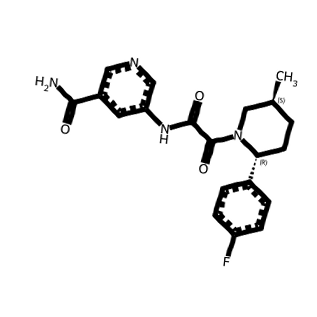 C[C@H]1CC[C@H](c2ccc(F)cc2)N(C(=O)C(=O)Nc2cncc(C(N)=O)c2)C1